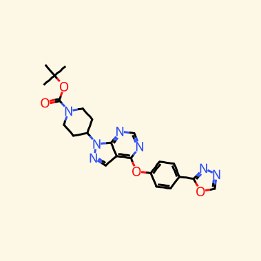 CC(C)(C)OC(=O)N1CCC(n2ncc3c(Oc4ccc(-c5nnco5)cc4)ncnc32)CC1